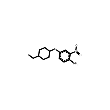 CCC1CCC(Oc2ccc(N)c([N+](=O)[O-])c2)CC1